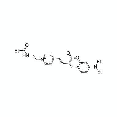 CCC(=O)NCC[n+]1ccc(/C=C/c2cc3ccc(N(CC)CC)cc3oc2=O)cc1